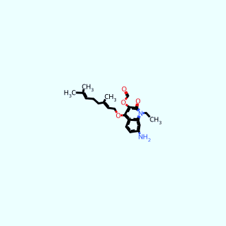 CCn1c(=O)c(OC=O)c(OC/C=C(\C)CCC=C(C)C)c2ccc(N)cc21